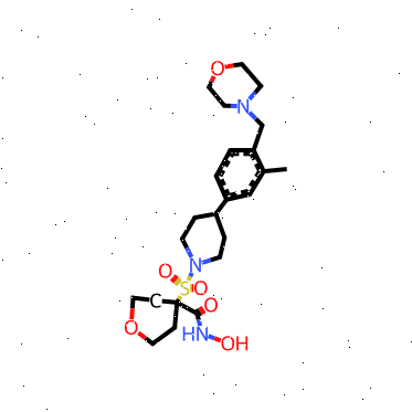 Cc1cc(C2CCN(S(=O)(=O)C3(C(=O)NO)CCOCC3)CC2)ccc1CN1CCOCC1